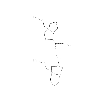 CC(C)OCC12CCCN1C(C(O)CO[C@H]1CN3CCC[C@]3(COC(C)C)C1)CC2